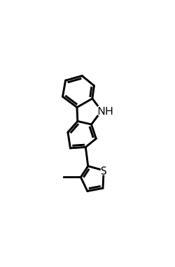 Cc1ccsc1-c1ccc2c(c1)[nH]c1ccccc12